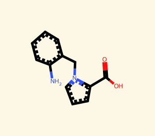 Nc1ccccc1Cn1cccc1C(=O)O